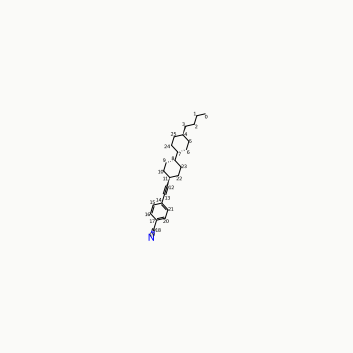 CCCC[C@H]1CC[C@H]([C@H]2CC[C@H](C#Cc3ccc(C#N)cc3)CC2)CC1